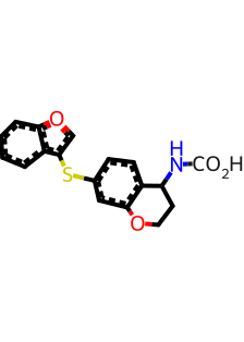 O=C(O)NC1CCOc2cc(Sc3coc4ccccc34)ccc21